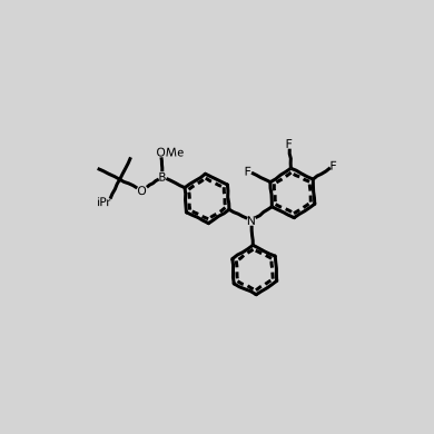 COB(OC(C)(C)C(C)C)c1ccc(N(c2ccccc2)c2ccc(F)c(F)c2F)cc1